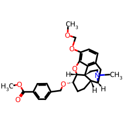 COCOc1ccc2c3c1O[C@H]1[C@@H](OCc4ccc(C(=O)OC)cc4)CC[C@H]4[C@@H](C2)N(C)CC[C@@]341